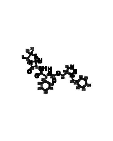 C[C@@H]1N2C(=O)[C@@H](NC(=O)[C@H](NC(=O)OCc3cnnn3Cc3ccccc3)c3ccccc3)[C@H]2SC1(C)C